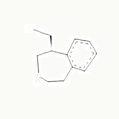 ClC[C@@H]1CNCCc2ccccc21